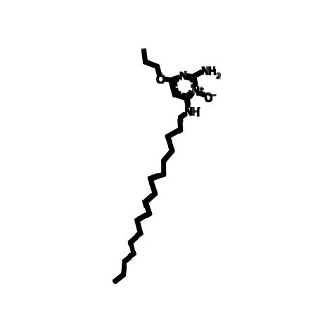 CCCCCCCCCCCCCCCCCNc1cc(OCCC)nc(N)[n+]1[O-]